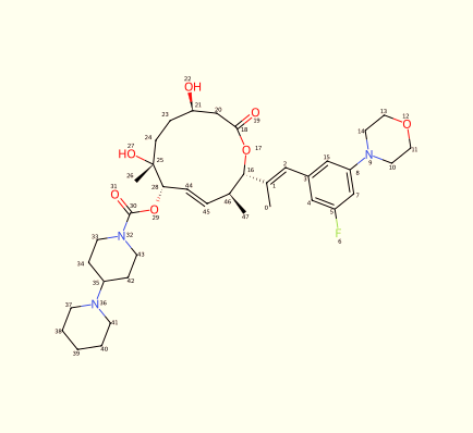 C/C(=C\c1cc(F)cc(N2CCOCC2)c1)[C@H]1OC(=O)C[C@H](O)CC[C@@](C)(O)[C@@H](OC(=O)N2CCC(N3CCCCC3)CC2)/C=C/[C@@H]1C